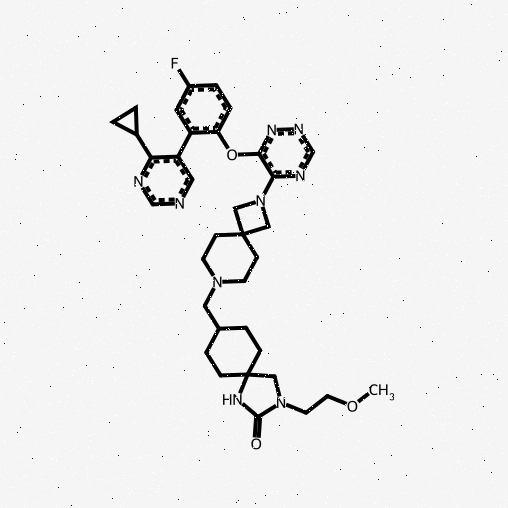 COCCN1CC2(CCC(CN3CCC4(CC3)CN(c3ncnnc3Oc3ccc(F)cc3-c3cncnc3C3CC3)C4)CC2)NC1=O